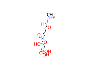 CNCCNC(=O)/C=C/C=C/N(C=O)C1OC(COP(=O)(O)O)C1O